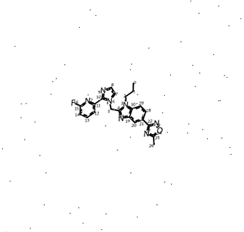 CCCn1c(Cn2ccnc2-c2cccc(F)n2)nc2cc(-c3noc(C)n3)ccc21